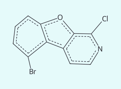 Clc1nccc2c1oc1cccc(Br)c12